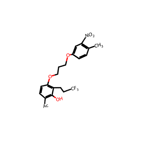 CC(=O)c1ccc(OCCCOc2ccc(C)c([N+](=O)[O-])c2)c(CCC(F)(F)F)c1O